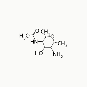 CC(=O)NC1C(C)OC(C)C(N)C1O